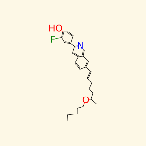 CCCCCOC(C)CCCC=Cc1ccc2cc(-c3ccc(O)c(F)c3)ncc2c1